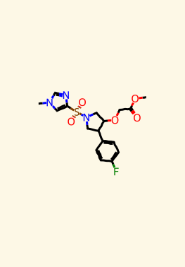 COC(=O)COC1CN(S(=O)(=O)c2cn(C)cn2)CC1c1ccc(F)cc1